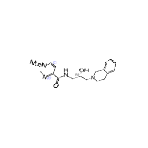 C/N=C(\C=C/NC)C(=O)NC[C@H](O)CN1CCc2ccccc2C1